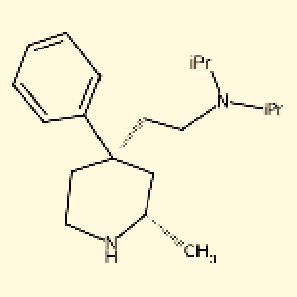 CC(C)N(CC[C@@]1(c2ccccc2)CCN[C@@H](C)C1)C(C)C